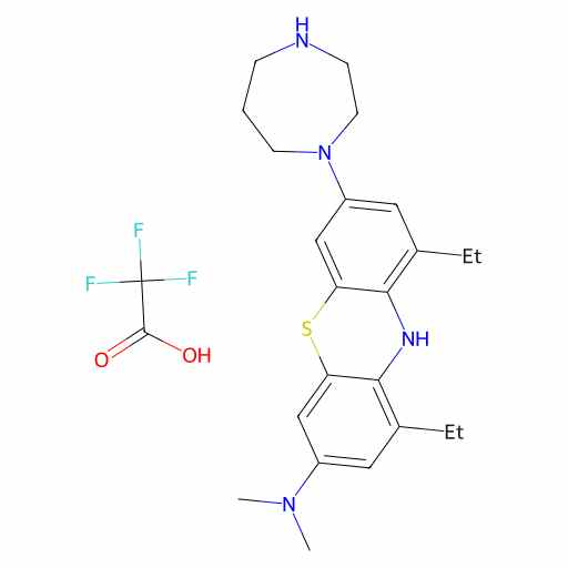 CCc1cc(N(C)C)cc2c1Nc1c(CC)cc(N3CCCNCC3)cc1S2.O=C(O)C(F)(F)F